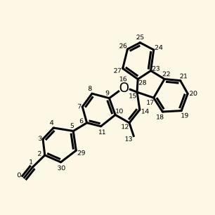 C#Cc1ccc(-c2ccc3c(c2)C(C)=CC2(O3)c3ccccc3-c3ccccc32)cc1